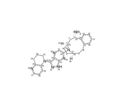 N[C@H]1C[C@@H]2CC[C@H](CCc3ccccc31)N2c1cnc2c(N3CCCc4ncccc43)n[nH]c2n1